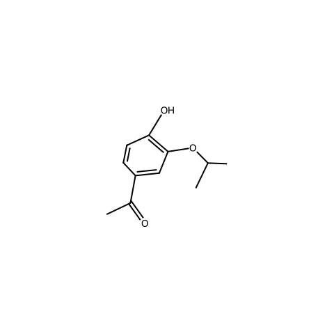 CC(=O)c1ccc(O)c(OC(C)C)c1